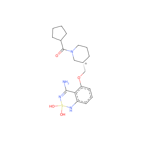 NC1=NS(O)(O)Nc2cccc(OC[C@H]3CCCN(C(=O)C4CCCC4)C3)c21